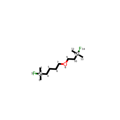 C[Si](C)(F)CCCCOCC[Si](C)(C)F